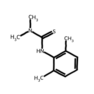 Cc1cccc(C)c1NC(=S)N(C)C